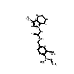 C=NN(C)c1ccc(CNC(=O)Cn2nc(C(F)(F)F)c3c2CCCC3)cc1N